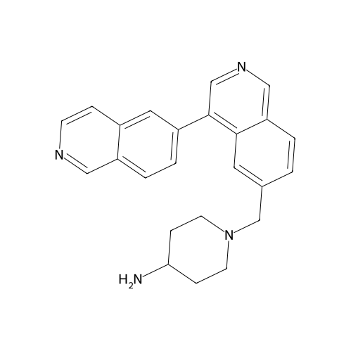 NC1CCN(Cc2ccc3cncc(-c4ccc5cnccc5c4)c3c2)CC1